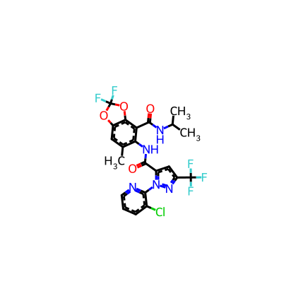 Cc1cc2c(c(C(=O)NC(C)C)c1NC(=O)c1cc(C(F)(F)F)nn1-c1ncccc1Cl)OC(F)(F)O2